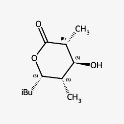 CCC(C)[C@@H]1OC(=O)[C@H](C)[C@@H](O)[C@@H]1C